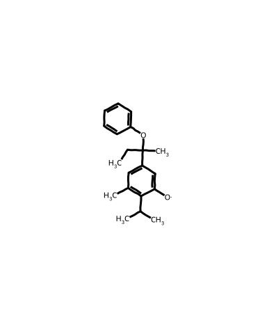 CCC(C)(Oc1ccccc1)c1cc(C)c(C(C)C)c([O])c1